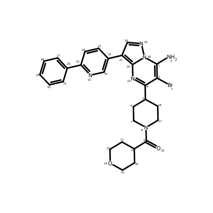 Nc1c(Br)c(C2CCN(C(=O)C3CCOCC3)CC2)nc2c(-c3ccc(-c4ccccc4)nc3)cnn12